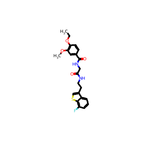 CCOc1ccc(C(=O)NCC(=O)NCCc2csc3c(F)cccc23)cc1OC